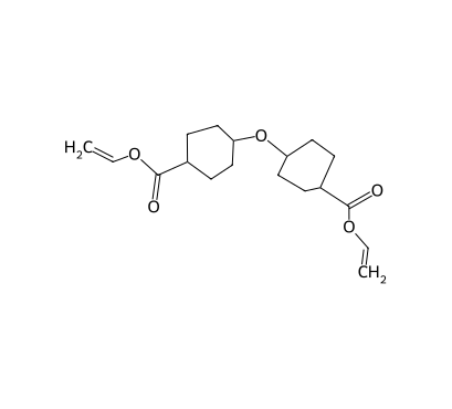 C=COC(=O)C1CCC(OC2CCC(C(=O)OC=C)CC2)CC1